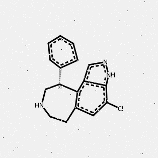 Clc1cc2c(c3cn[nH]c13)[C@@H](c1ccccc1)CNCC2